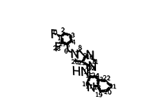 Fc1cccc(CN2Cc3ncnc(Nc4cnc5ccccc5c4)c3C2)c1F